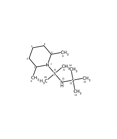 CC1CCCC(C)N1S(C)(C)NS(C)(C)C